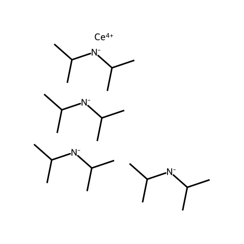 CC(C)[N-]C(C)C.CC(C)[N-]C(C)C.CC(C)[N-]C(C)C.CC(C)[N-]C(C)C.[Ce+4]